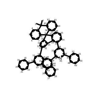 CC1(C)c2ccccc2C2(c3ccc(-c4cc(-c5ccccc5)cc(-c5ccccc5)c4)cc3-c3c(-c4cc(-c5ccccc5)nc(-c5ccccc5)c4)cccc32)c2ccccc21